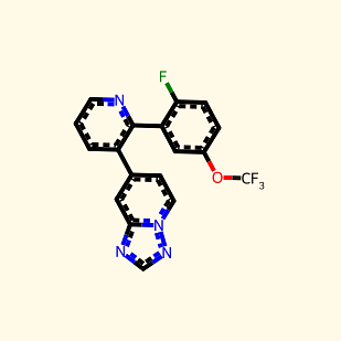 Fc1ccc(OC(F)(F)F)cc1-c1ncccc1-c1ccn2ncnc2c1